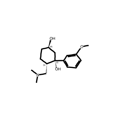 COc1cccc([C@]2(O)C[C@H](O)CC[C@H]2CN(C)C)c1